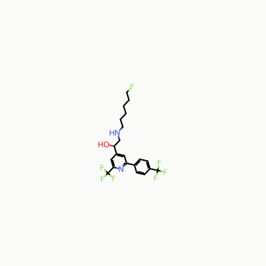 O[C@@H](CNCCCCCCF)c1cc(-c2ccc(C(F)(F)F)cc2)nc(C(F)(F)F)c1